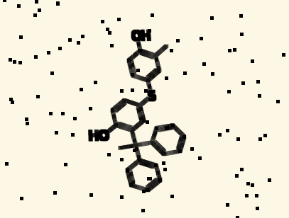 Cc1cc(Sc2ccc(O)c(C(C)(c3ccccc3)c3ccccc3)c2)ccc1O